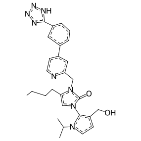 CCCCc1cn(-c2c(CO)ccn2C(C)C)c(=O)n1Cc1cc(-c2cccc(-c3nnn[nH]3)c2)ccn1